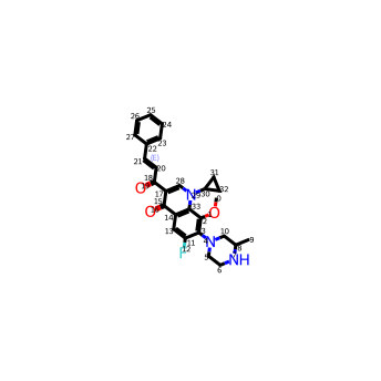 COc1c(N2CCNC(C)C2)c(F)cc2c(=O)c(C(=O)/C=C/c3ccccc3)cn(C3CC3)c12